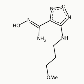 COCCCNc1nonc1/C(N)=N/O